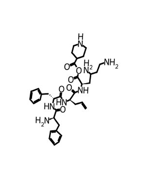 C=CC[C@@H](NC(=O)[C@@H](Cc1ccccc1)NC(=O)[C@H](N)Cc1ccccc1)C(=O)N[C@H](CC(N)CCN)C(=O)OC(=O)C1CCNCC1